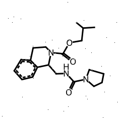 CC(C)COC(=O)N1CCc2ccccc2C1CNC(=O)N1CCCC1